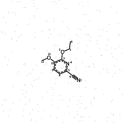 CCOc1nc(C#N)ccc1OC